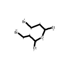 CCC(CCBr)OC(CC)CCBr